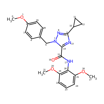 COc1ccc(Cn2nc(C3CC3)nc2C(=O)Nc2c(OC)cccc2OC)cc1